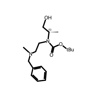 C[C@@H](CO)N(CCN(C)Cc1ccccc1)C(=O)OC(C)(C)C